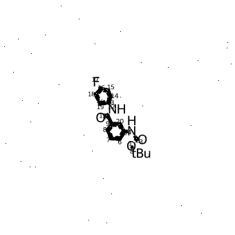 CC(C)(C)OC(=O)Nc1cccc(C(=O)Nc2ccc(F)cc2)c1